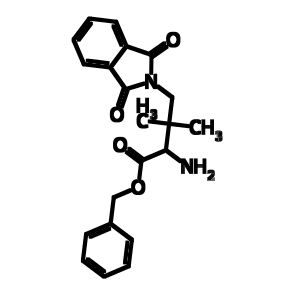 CC(C)(CN1C(=O)c2ccccc2C1=O)C(N)C(=O)OCc1ccccc1